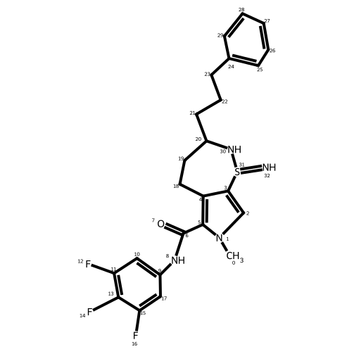 Cn1cc2c(c1C(=O)Nc1cc(F)c(F)c(F)c1)CCC(CCCc1ccccc1)NS2=N